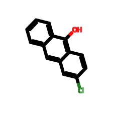 Oc1c2ccccc2cc2cc(Cl)ccc12